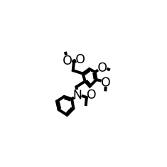 COC(=O)Cc1cc(OC)c(OC)cc1CN(C(C)=O)c1ccccc1